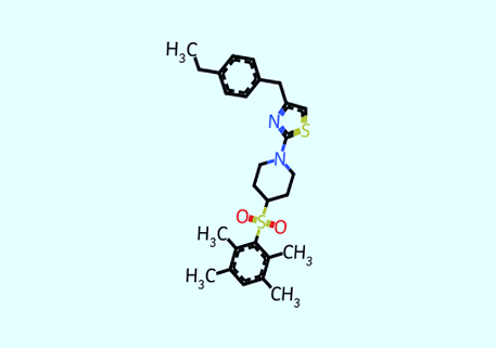 CCc1ccc(Cc2csc(N3CCC(S(=O)(=O)c4c(C)c(C)cc(C)c4C)CC3)n2)cc1